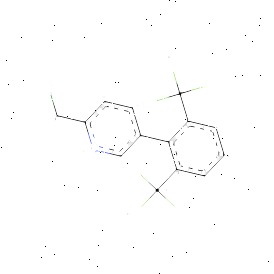 FC(F)(F)c1cccc(C(F)(F)F)c1-c1ccc(CCl)nc1